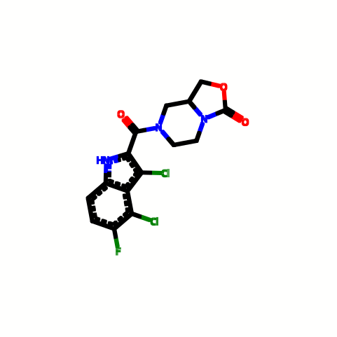 O=C(c1[nH]c2ccc(F)c(Cl)c2c1Cl)N1CCN2C(=O)OCC2C1